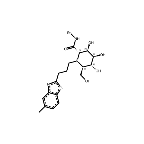 CCNC(=O)[C@@H]1[C@@H](O)[C@@H](O)[C@H](O)[C@@H](CO)N1CCCc1nc2cc(C)ccc2s1